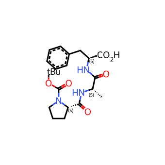 C[C@H](NC(=O)[C@@H]1CCCN1C(=O)OC(C)(C)C)C(=O)N[C@@H](Cc1ccccc1)C(=O)O